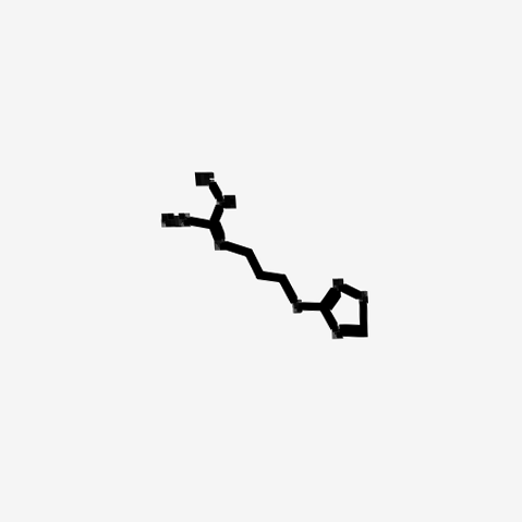 CNC(=NCCCSc1ncsn1)NC#N